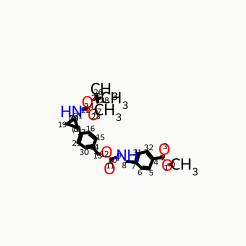 COC(=O)c1ccc(CNC(=O)OCc2ccc([C@@H]3C[C@H]3NC(=O)OC(C)(C)C)cc2)cc1